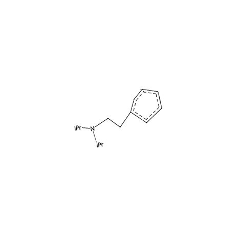 CC(C)N(CCc1c[c]ccc1)C(C)C